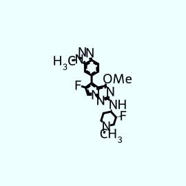 COc1nc(N[C@H]2CCN(C)C[C@H]2F)nn2cc(F)c(-c3ccc4nnn(C)c4c3)c12